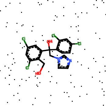 OCc1c(Cl)cc(Cl)cc1C(O)(Cn1ccnc1)c1ccc(Cl)cc1Cl